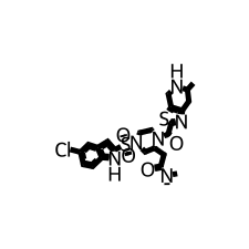 CC1Cc2nc(C(=O)N3CCN(S(=O)(=O)c4cc5cc(Cl)ccc5[nH]4)CC3CC(=O)N(C)C)sc2CN1